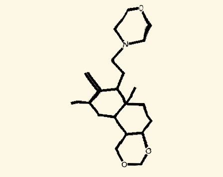 C=C1C(C)CC2C3COCOC3CCC2(C)C1CCN1CCOCC1